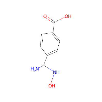 NC(NO)c1ccc(C(=O)O)cc1